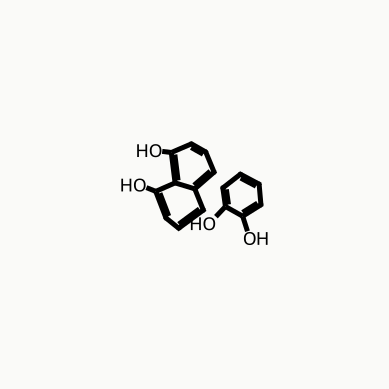 Oc1cccc2cccc(O)c12.Oc1ccccc1O